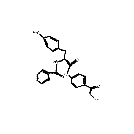 COc1ccc(C[C@H](NC(=O)c2ccccc2)C(=O)Nc2ccc(C(=O)NO)cc2)cc1